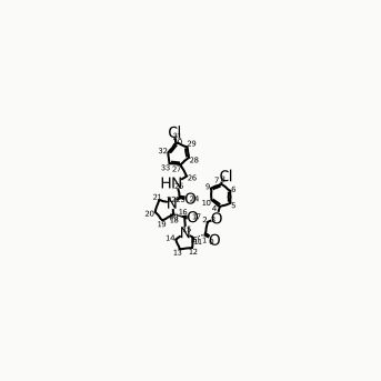 O=C(COc1ccc(Cl)cc1)[C@@H]1CCCN1C(=O)[C@H]1CCCN1C(=O)NCc1ccc(Cl)cc1